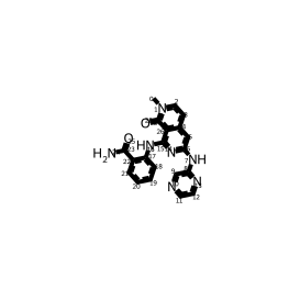 Cn1ccc2cc(Nc3cnccn3)nc(Nc3ccccc3C(N)=O)c2c1=O